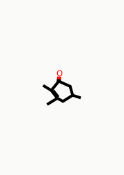 CC1=C(C)C(=O)CC(C)C1